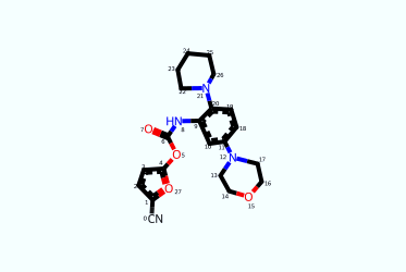 N#Cc1ccc(OC(=O)Nc2cc(N3CCOCC3)ccc2N2CCCCC2)o1